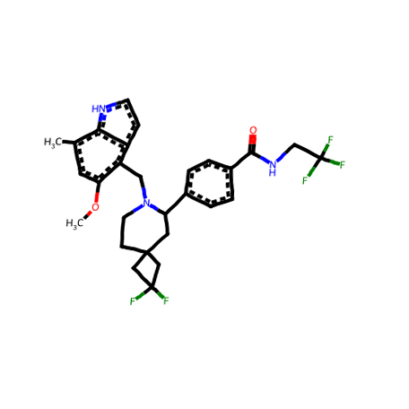 COc1cc(C)c2[nH]ccc2c1CN1CCC2(CC1c1ccc(C(=O)NCC(F)(F)F)cc1)CC(F)(F)C2